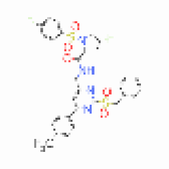 O=C(NCc1cc(-c2ccc(C(F)(F)F)cc2)nc(S(=O)(=O)Cc2ccccc2)n1)[C@@H]1C[C@@H](F)CN1S(=O)(=O)c1ccc(F)cc1